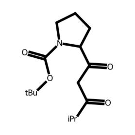 CC(C)C(=O)CC(=O)C1CCCN1C(=O)OC(C)(C)C